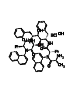 CC(C)[C@@H](C(=O)N[C@@H](Cc1ccccc1)[C@@H](O)[C@H](O)[C@H](Cc1ccccc1)NC(=O)[C@H](C(C)C)N(C(=O)[C@H](C)N)c1cccc2ccccc12)N(C(=O)[C@H](C)N)c1cccc2ccccc12.Cl.Cl